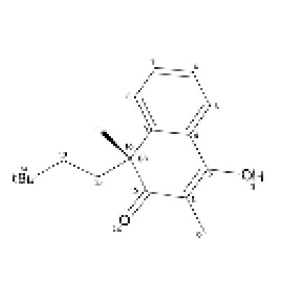 CC1=C(O)c2ccccc2[C@@](C)(CCC(C)(C)C)C1=O